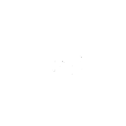 CC[C@@H](Nc1nonc1Nc1ccc(Cl)c(S(=O)(=O)N(C)C)c1O)c1ccc(C)o1